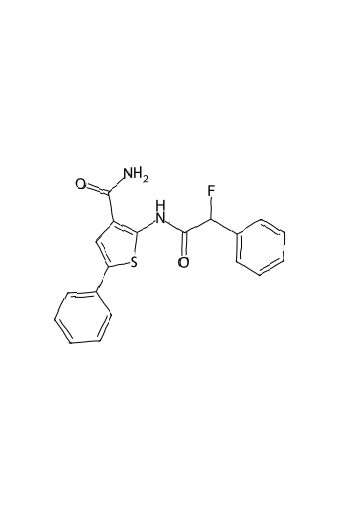 NC(=O)c1cc(-c2ccccc2)sc1NC(=O)C(F)c1ccccc1